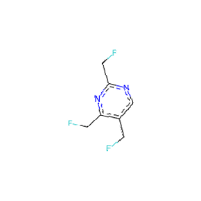 FCc1ncc(CF)c(CF)n1